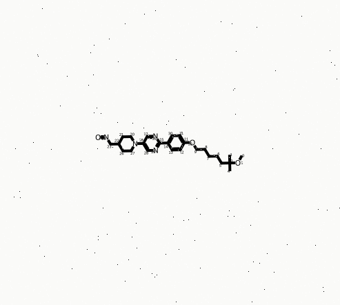 COC(C)(C)CCCCCOc1ccc(-c2ncc(N3CCC(CN=O)CC3)cn2)cc1